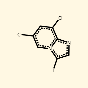 Clc1cc(Cl)c2ncc(I)n2c1